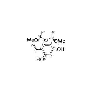 C=Cc1ccc(O)cc1O.COC(C)OC(C)OC